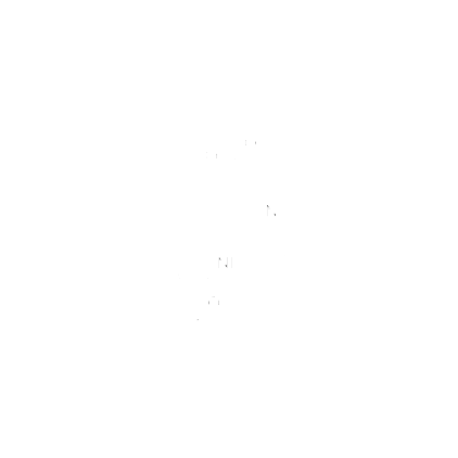 COC(=O)c1c(C)nc(CC(C)C)c(CNC(=O)OC(C)(C)C)c1-c1ccccc1